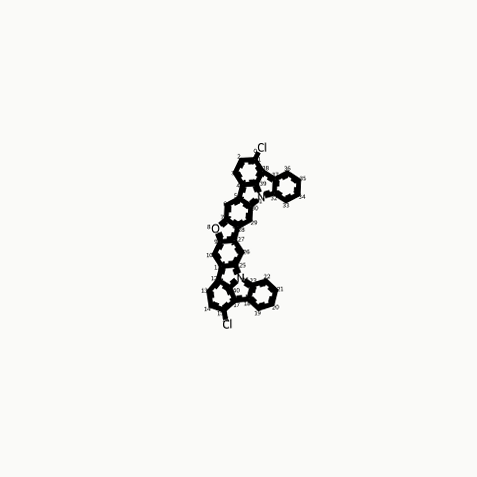 Clc1ccc2c3cc4oc5cc6c7ccc(Cl)c8c9ccccc9n(c6cc5c4cc3n3c4ccccc4c1c23)c78